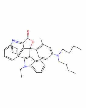 CCCCN(CCCC)c1ccc(C2(c3c(-c4ccccc4)n(CC)c4ccccc34)OC(=O)c3ncccc32)c(C)c1